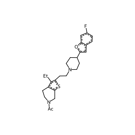 CCc1c(CCN2CCC(c3cc4ccc(F)cc4o3)CC2)sc2c1CCN(C(C)=O)C2